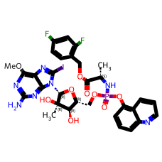 COc1nc(N)nc2c1nc(I)n2[C@@H]1O[C@H](COP(=O)(N[C@@H](C)C(=O)OCc2ccc(F)cc2F)Oc2cccc3ncccc23)[C@@H](O)[C@@]1(C)O